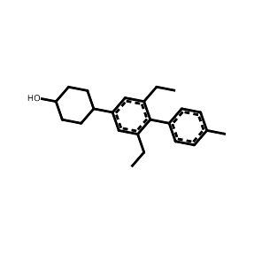 CCc1cc(C2CCC(O)CC2)cc(CC)c1-c1ccc(C)cc1